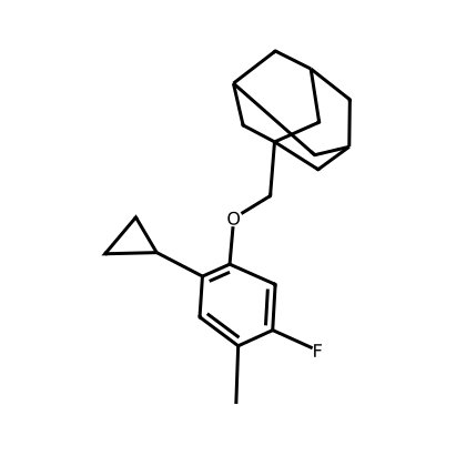 Cc1cc(C2CC2)c(OCC23CC4CC(CC(C4)C2)C3)cc1F